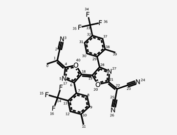 C/C(C#N)=c1\nc(-c2ccc(C)cc2C(F)(F)F)/c(=c2\oc(=C(C#N)C#N)nc2-c2ccc(C(F)(F)F)cc2C)o1